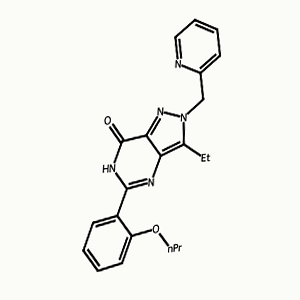 CCCOc1ccccc1-c1nc2c(CC)n(Cc3ccccn3)nc2c(=O)[nH]1